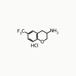 Cl.NC1COc2ccc(C(F)(F)F)cc2C1